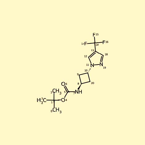 CC(C)(C)OC(=O)N[C@H]1C[C@H](n2cc(C(F)(F)F)cn2)C1